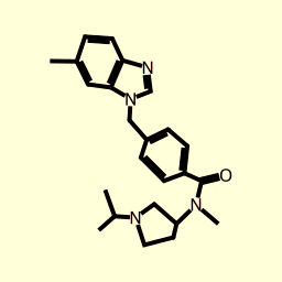 Cc1ccc2ncn(Cc3ccc(C(=O)N(C)C4CCN(C(C)C)C4)cc3)c2c1